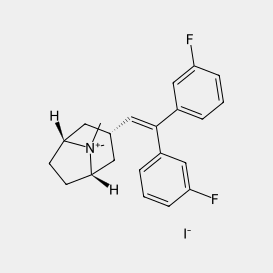 C[N+]1(C)[C@@H]2CC[C@H]1C[C@@H](C=C(c1cccc(F)c1)c1cccc(F)c1)C2.[I-]